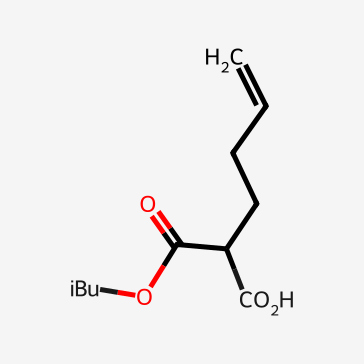 C=CCCC(C(=O)O)C(=O)OC(C)CC